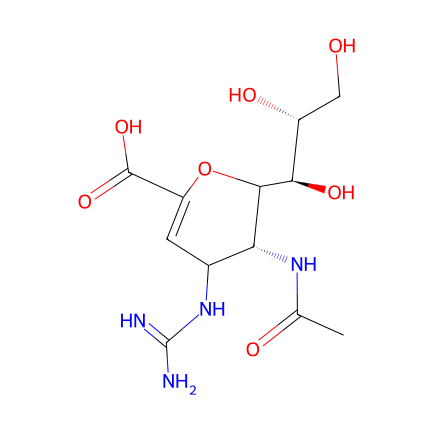 CC(=O)N[C@@H]1C(NC(=N)N)C=C(C(=O)O)OC1[C@H](O)[C@H](O)CO